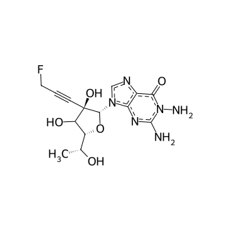 C[C@@H](O)[C@H]1O[C@@H](n2cnc3c(=O)n(N)c(N)nc32)[C@@](O)(C#CCF)C1O